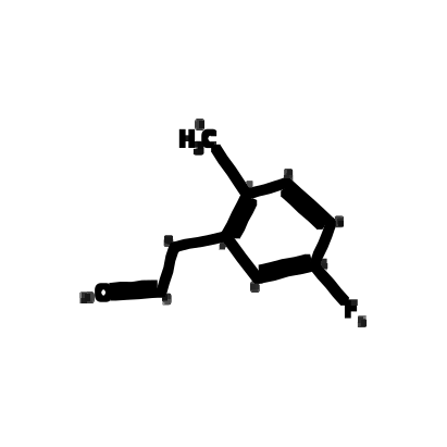 Cc1ccc(F)cc1CC=O